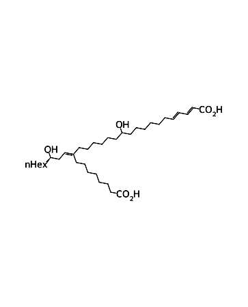 CCCCCC[C@@H](O)C/C=C(\CCCCCCCC(=O)O)CCCCCCC(O)CCCCCCC=CC=CC(=O)O